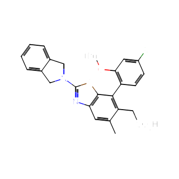 Cc1cc2nc(N3Cc4ccccc4C3)sc2c(-c2ccc(Cl)cc2OC(C)(C)C)c1CC(=O)O